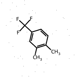 Cc1[c]c(C(F)(F)F)ccc1C